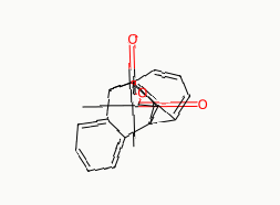 O=C1OC(=O)C2C1C1c3ccccc3C23c2cccc1c23